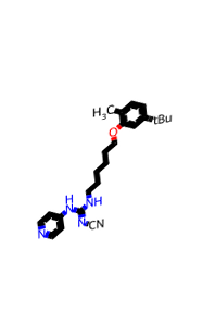 Cc1ccc(C(C)(C)C)cc1OCCCCCCN/C(=N\C#N)Nc1ccncc1